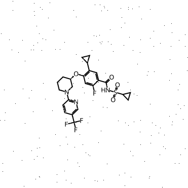 O=C(NS(=O)(=O)C1CC1)c1cc(C2CC2)c(O[C@@H]2CCCN(c3ccc(C(F)(F)F)cn3)C2)cc1F